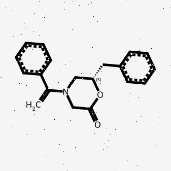 C=C(c1ccccc1)N1CC(=O)O[C@@H](Cc2ccccc2)C1